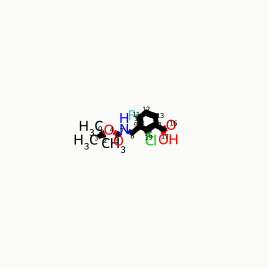 CC(C)(C)OC(=O)NCc1c(F)ccc(C(=O)O)c1Cl